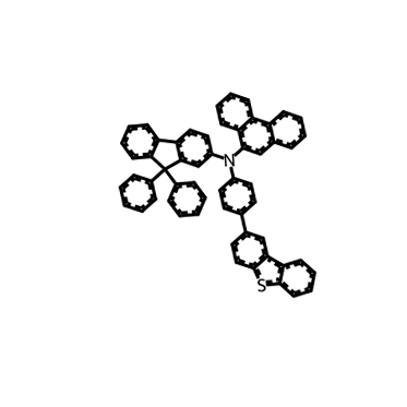 c1ccc(C2(c3ccccc3)c3ccccc3-c3ccc(N(c4ccc(-c5ccc6sc7ccccc7c6c5)cc4)c4cc5ccccc5c5ccccc45)cc32)cc1